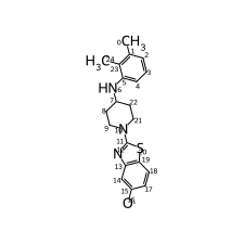 Cc1cccc(NC2CCN(c3nc4cc([O])ccc4s3)CC2)c1C